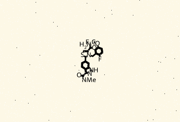 CNC(=O)c1n[nH]c2cc(C3SC=C(C(N)=O)N3Cc3cc(OC(F)(F)F)ccc3F)ccc12